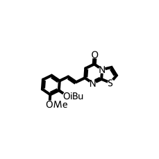 COc1cccc(/C=C/c2cc(=O)n3ccsc3n2)c1OCC(C)C